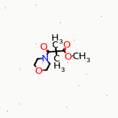 COC(=O)C(C)(C)C(=O)N1CCOCC1